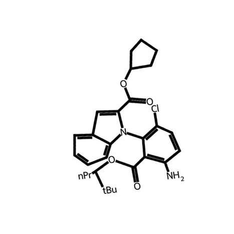 CCCC(OC(=O)c1c(N)ccc(Cl)c1-n1c(C(=O)OC2CCCC2)cc2ccccc21)C(C)(C)C